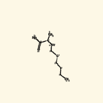 CCCCOCNC(C)C(=O)O